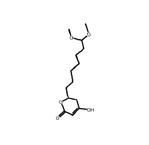 COC(CCCCCCC1CC(O)=CC(=O)O1)OC